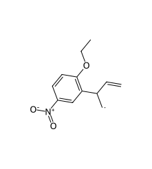 [CH2]C(C=C)c1cc([N+](=O)[O-])ccc1OCC